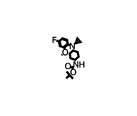 COc1cc(F)ccc1N(C1CC1)[C@H]1CC[C@@H](NC(=O)OC(C)(C)C)CC1